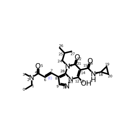 CCN(C)C(=O)/C=C/c1cnn2c(O)c(C(=O)NC3CC3)c(=O)n(CC(C)C)c12